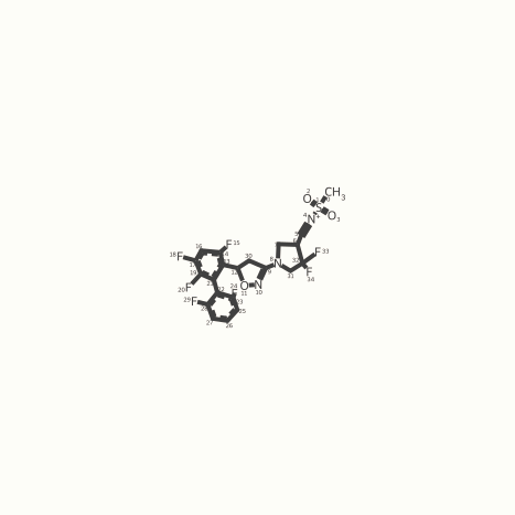 CS(=O)(=O)[N+]#CC1CN(C2=NOC(c3c(F)cc(F)c(F)c3-c3c(F)cccc3F)C2)CC1(F)F